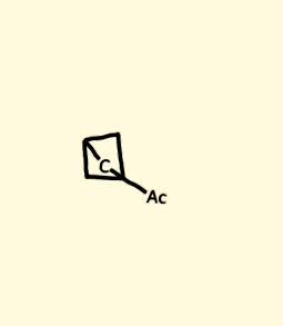 CC(=O)C12CC(C1)C2